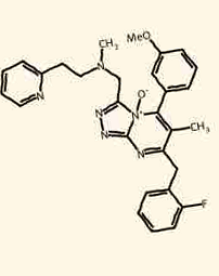 COc1cccc(C2=C(C)C(Cc3ccccc3F)=NC3=NN=C(CN(C)CCc4ccccn4)[N+]32[O-])c1